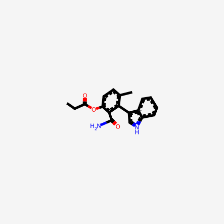 CCC(=O)Oc1ccc(C)c(-c2c[nH]c3ccccc23)c1C(N)=O